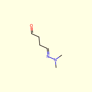 CN(C)N=CCCC=O